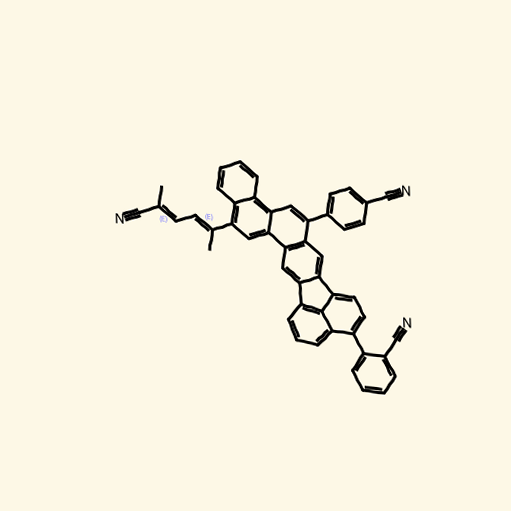 C/C(C#N)=C\C=C(/C)c1cc2c3cc4c(cc3c(-c3ccc(C#N)cc3)cc2c2ccccc12)-c1ccc(-c2ccccc2C#N)c2cccc-4c12